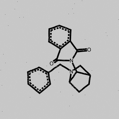 O=C1c2ccccc2C(=O)N1C1C2CCC1N(Cc1ccccc1)C2